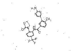 Cc1ccc(C(=O)Nc2cc(C(F)(F)F)ccc2N2CCOC2=O)cc1-c1cnc(N)nc1